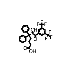 CN(C(=O)c1cc(C(F)(F)F)cc(C(F)(F)F)c1)C(CCCC(=O)O)(c1ccccc1)c1ccccc1